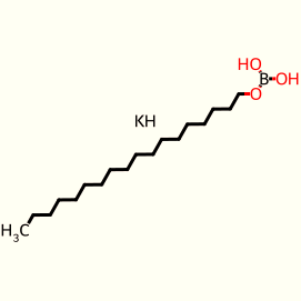 CCCCCCCCCCCCCCCCCCOB(O)O.[KH]